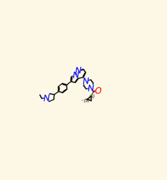 CCN1CCC(c2ccc(-c3cc4c(N5CCN(C(=O)[C@H]6C[C@@H]6C)CC5)ccnn4c3)cc2)C1